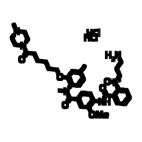 COc1cc(C(=O)N(C)c2ccc(C)cc2OCCCCCC(=O)N2CCN(C)CC2)ccc1NC(=O)c1ccccc1[S+]([O-])CCCN.Cl.Cl